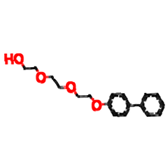 OCCOCCOCCOc1ccc(-c2ccccc2)cc1